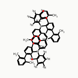 [2H]c1c([2H])c([2H])c(N(c2c(-c3c(C)cccc3C)ccc(-c3c(C)cccc3C)c2F)c2ccc3ccc4c(N(c5c([2H])c([2H])c([2H])c([2H])c5[2H])c5c(-c6c(C)cccc6C)ccc(-c6c(C)cccc6C)c5F)ccc5ccc2c3c54)c([2H])c1[2H]